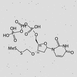 CSSCO[C@H]1CC(n2ccc(=O)[nH]c2=O)O[C@@H]1COP(=O)(O)O[PH](=O)OP(=O)(O)O